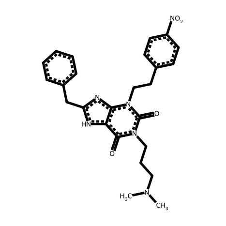 CN(C)CCCn1c(=O)c2[nH]c(Cc3ccccc3)nc2n(CCc2ccc([N+](=O)[O-])cc2)c1=O